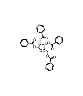 O=C(OC[C@H]1OC(OC(=O)c2ccccc2)[C@H](OC(=O)c2ccccc2)[C@H]1OC(=O)c1ccccc1)c1ccccc1